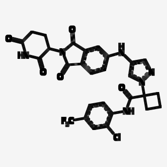 O=C1CCC(N2C(=O)c3ccc(Nc4cnn(C5(C(=O)Nc6ccc(C(F)(F)F)cc6Cl)CCC5)c4)cc3C2=O)C(=O)N1